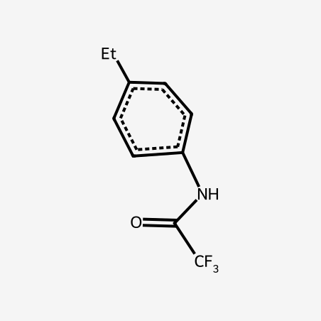 CCc1ccc(NC(=O)C(F)(F)F)cc1